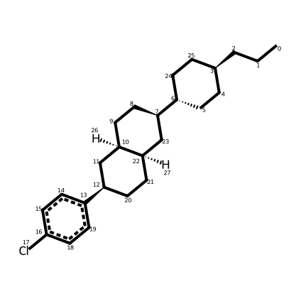 CCC[C@H]1CC[C@H]([C@@H]2CC[C@@H]3C[C@H](c4ccc(Cl)cc4)CC[C@@H]3C2)CC1